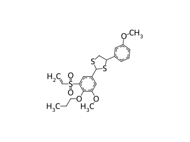 C=CS(=O)(=O)c1cc(C2SCC(c3cccc(OC)c3)S2)cc(OC)c1OCCC